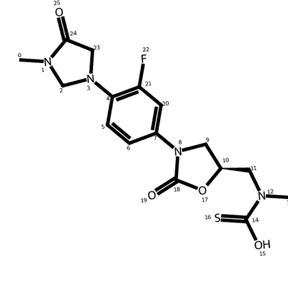 CN1CN(c2ccc(N3C[C@@H](CN(C)C(O)=S)OC3=O)cc2F)CC1=O